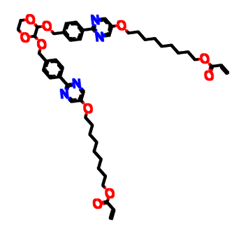 C=CC(=O)OCCCCCCCCCOc1cnc(-c2ccc(COC3OCCOC3OCc3ccc(-c4ncc(OCCCCCCCCCOC(=O)C=C)cn4)cc3)cc2)nc1